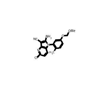 COCOc1ccc(C)c(-n2c(N)c(C#N)c3nc(Cl)ccc32)c1